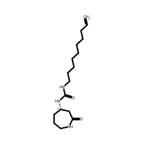 C=CCCCCCCCCNC(=O)N[C@H]1CCCNC(=O)C1